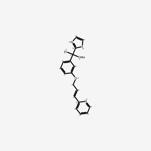 CCC(OC)(c1cccc(OC/C=C/c2ccccn2)c1)c1nccs1